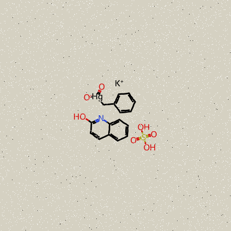 O=S(=O)(O)O.Oc1ccc2ccccc2n1.[K+].[O]=[Hg]([O-])[CH2]c1ccccc1